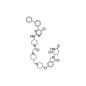 O=C1CCC(N2Cc3cc(OC4CCN(CC5CCN(CC(=O)N6CCC(Nc7ncc(Cl)c(-c8cccc(-c9ccccc9)c8)n7)CC6)CC5)CC4)ccc3C2=O)C(=O)N1